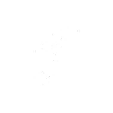 Oc1ccc(-c2ccc3cc(O)ccc3c2Cc2ccc(OCCC3=CC=CC=CN3)cc2)cc1